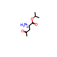 CC(=O)C[C@H](N)C(=O)OC(C)C